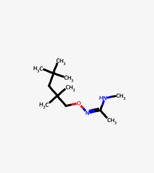 CN/C(C)=N\OCC(C)(C)CC(C)(C)C